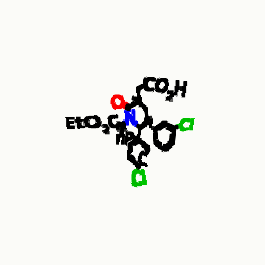 CCC[C@@H](C(=O)OCC)N1C(=O)[C@@H](CC(=O)O)C[C@H](c2cccc(Cl)c2)C1c1ccc(Cl)cc1